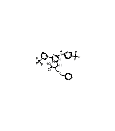 O=C(O)[C@H](CSCc1ccccc1)Nc1nc(Nc2ccc(C(F)(F)F)cc2)nc(-c2cccc(C(F)(F)F)c2)n1